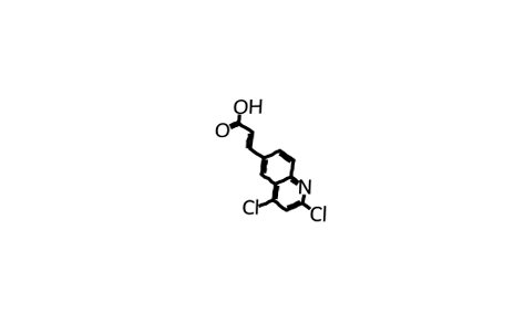 O=C(O)/C=C/c1ccc2nc(Cl)cc(Cl)c2c1